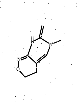 C=C1NC2=NOCCC2=CN1C